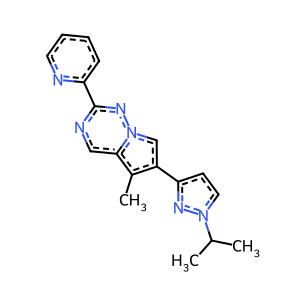 Cc1c(-c2ccn(C(C)C)n2)cn2nc(-c3ccccn3)ncc12